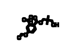 CC(C)(CO)COC(=O)c1ccc(OC=O)cc1C(=O)O